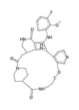 COc1c(F)cccc1Nc1c2[nH]c3c1C(=O)NCC3CC(=O)N1CCC(CC1)C(=O)NCCCOc1cnccc1-2